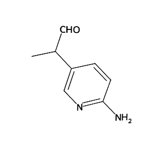 CC(C=O)c1ccc(N)nc1